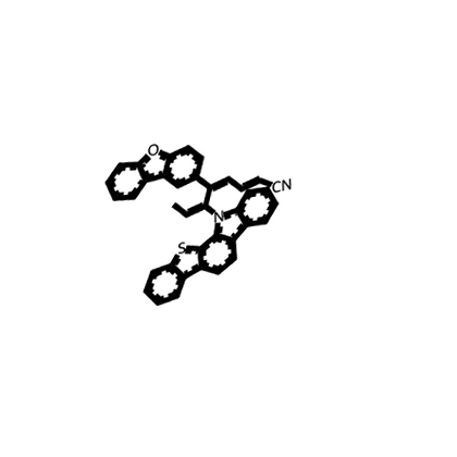 C\C=C(/C(=C\C=C\C#N)c1ccc2oc3ccccc3c2c1)n1c2ccccc2c2ccc3c4ccccc4sc3c21